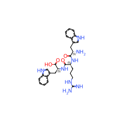 N=C(N)NCCC[C@H](NC(=O)[C@@H](N)Cc1c[nH]c2ccccc12)C(=O)N[C@@H](Cc1c[nH]c2ccccc12)C(=O)O